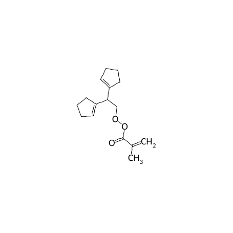 C=C(C)C(=O)OOCC(C1=CCCC1)C1=CCCC1